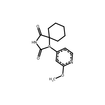 COc1cc(N2C(=O)NC(=O)C23CCCCC3)ccn1